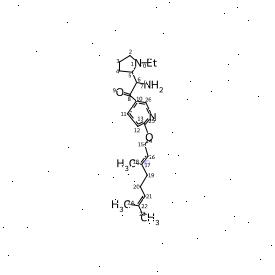 CCN1CCCC1C(N)C(=O)c1ccc(OC/C=C(\C)CCC=C(C)C)nc1